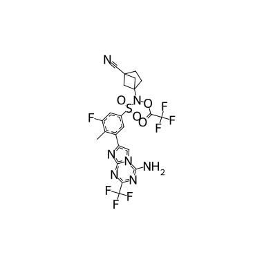 Cc1c(F)cc(S(=O)(=O)N(OC(=O)C(F)(F)F)C23CCC(C#N)(C2)C3)cc1-c1cn2c(N)nc(C(F)(F)F)nc2n1